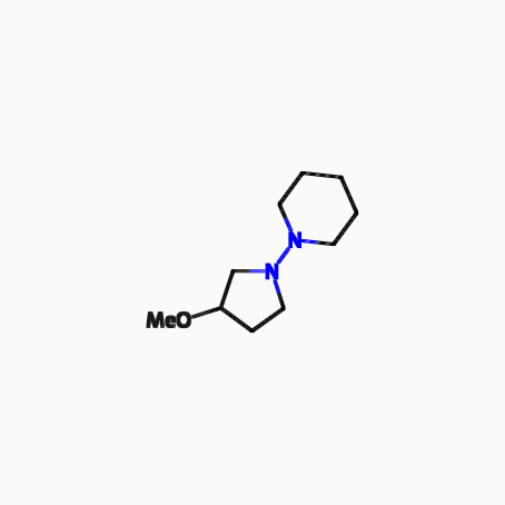 COC1CCN(N2CCCCC2)C1